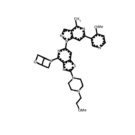 COCCN1CCN(c2nc3c(N4CC5OCC54)nc(-n4ncc5c(C)nc(-c6cnccc6OC)cc54)cc3s2)CC1